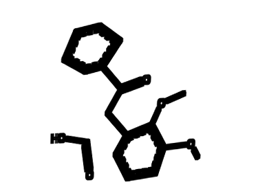 COc1cccc(CC(=O)c2ccccc2)c1OC.O=CO